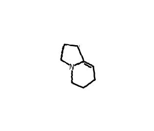 [C]1CCN2CCCC=C12